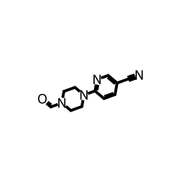 N#Cc1ccc(N2CCN(C=O)CC2)nc1